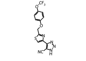 N#Cc1[nH]nnc1-c1csc(COc2ccc(OC(F)(F)F)cc2)n1